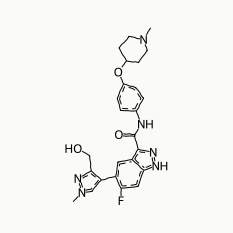 CN1CCC(Oc2ccc(NC(=O)c3n[nH]c4cc(F)c(-c5cn(C)nc5CO)cc34)cc2)CC1